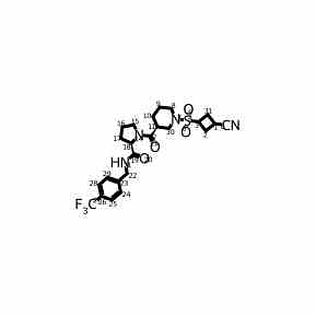 N#CC1CC(S(=O)(=O)N2CCC[C@H](C(=O)N3CCC[C@@H]3C(=O)NCc3ccc(C(F)(F)F)cc3)C2)C1